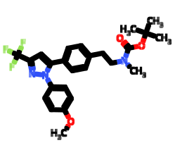 COc1ccc(-n2nc(C(F)(F)F)cc2-c2ccc(CCN(C)C(=O)OC(C)(C)C)cc2)cc1